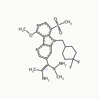 COc1ncc(S(C)(=O)=O)c2c1c1ncc(/C(=C(\C)N)N(C)N)cc1n2CC1CCC(F)(F)CC1